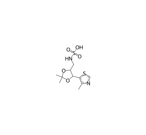 Cc1ncsc1C1OC(C)(C)OC1CNS(=O)(=O)O